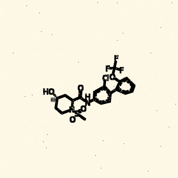 CS(=O)(=O)N1CC[C@H](O)CC1C(=O)Nc1ccc(-c2ccccc2OC(F)(F)F)c(Cl)c1